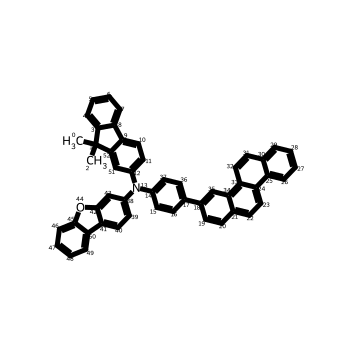 CC1(C)c2ccccc2-c2ccc(N(c3ccc(-c4ccc5ccc6c7ccccc7ccc6c5c4)cc3)c3ccc4c(c3)oc3ccccc34)cc21